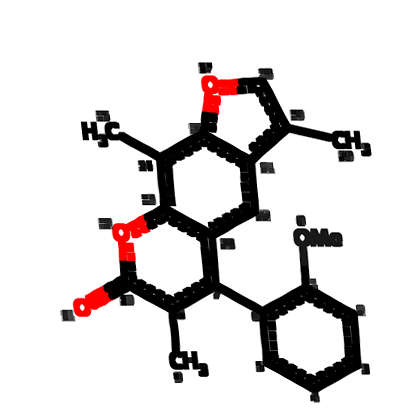 COc1ccccc1-c1c(C)c(=O)oc2c(C)c3occ(C)c3cc12